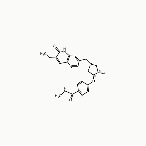 CCc1cc2ncc(CN3C[C@@H](F)[C@@H](Oc4ccc(C(=O)NC)nc4)C3)cc2[nH]c1=O